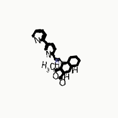 C[C@H]1OC(=O)[C@@H]2C[C@@H]3CCCCC3[C@H](/C=C/c3ccc(-c4ccccn4)cn3)[C@H]12